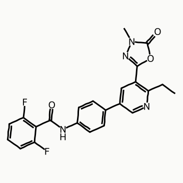 CCc1ncc(-c2ccc(NC(=O)c3c(F)cccc3F)cc2)cc1-c1nn(C)c(=O)o1